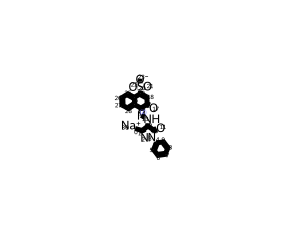 CC1=NN(c2ccccc2)C(=O)C1N/N=C1\C(=O)C=C(S(=O)(=O)[O-])c2ccccc21.[Na+]